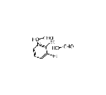 CCc1cccnc1CC.O=CO.O=CO